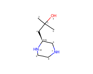 CC(C)(O)C[C@H]1CNCCN1